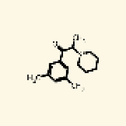 Cc1cc(C)cc(C(=O)C(C)[S+]2CCCCC2)c1